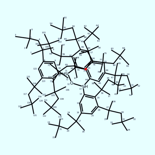 CC(C)(C)CC(C)(C)c1cc([SiH](O[SiH](c2cc(C(C)(C)CC(C)(C)C)cc(C(C)(C)CC(C)(C)C)c2C(C)(C)CC(C)(C)C)c2cc(C(C)(C)CC(C)(C)C)cc(C(C)(C)CC(C)(C)C)c2C(C)(C)CC(C)(C)C)c2cc(C(C)(C)CC(C)(C)C)cc(C(C)(C)CC(C)(C)C)c2C(C)(C)CC(C)(C)C)c(C(C)(C)CC(C)(C)C)c(C(C)(C)CC(C)(C)C)c1